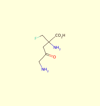 NCC(=O)CC(N)(CF)C(=O)O